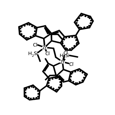 CCC1=Cc2ccccc2[CH]1[Zr]([Cl])([Cl])([CH2][CH2][Zr]([Cl])([Cl])([SiH2]C)([CH]1C(CC)=Cc2ccccc21)[CH]1C(C)=Cc2c(-c3ccccc3)cccc21)([SiH2]C)[CH]1C(C)=Cc2c(-c3ccccc3)cccc21